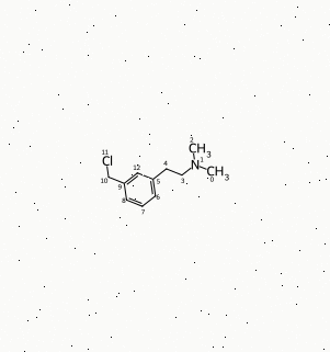 CN(C)CCc1cccc(CCl)c1